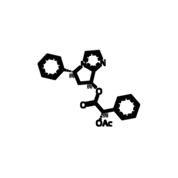 CC(=O)O[C@H](C(=O)O[C@H]1C[C@H](c2ccccc2)n2ccnc21)c1ccccc1